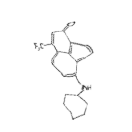 O=C1C=C(C(F)(F)F)c2ccc(NC3CCCCC3)c3cccc1c23